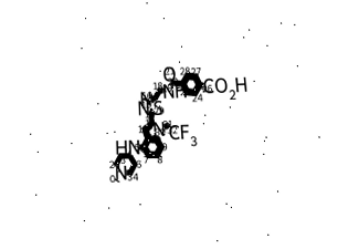 CN1CCC(Nc2cccc3c2cc(-c2nnc(CNC(=O)c4ccc(C(=O)O)cc4)s2)n3CC(F)(F)F)CC1